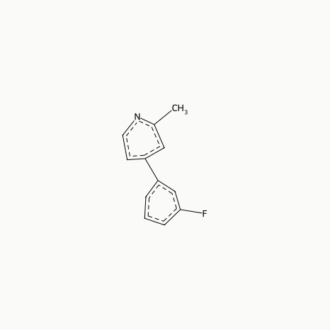 Cc1cc(-c2cccc(F)c2)ccn1